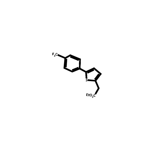 CCOC(=O)Cc1ccc(-c2ccc(C(F)(F)F)cc2)s1